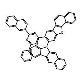 c1ccc(-c2nc(-c3ccc4ccccc4c3)nc(-c3cc4c(cc3-n3c5ccccc5c5cc6ccccc6cc53)oc3c5ccccc5ccc43)n2)cc1